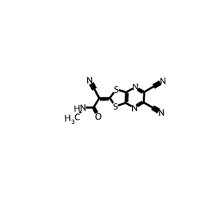 CNC(=O)C(C#N)=C1Sc2nc(C#N)c(C#N)nc2S1